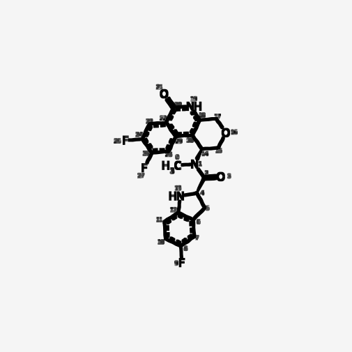 CN(C(=O)[C@H]1Cc2cc(F)ccc2N1)[C@@H]1COCc2[nH]c(=O)c3cc(F)c(F)cc3c21